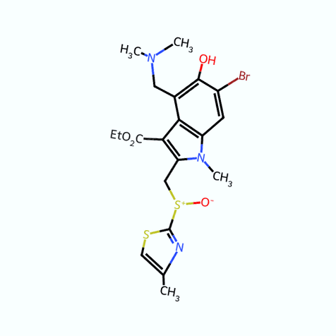 CCOC(=O)c1c(C[S+]([O-])c2nc(C)cs2)n(C)c2cc(Br)c(O)c(CN(C)C)c12